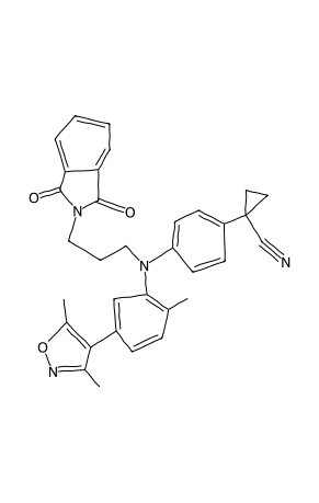 Cc1ccc(-c2c(C)noc2C)cc1N(CCCN1C(=O)c2ccccc2C1=O)c1ccc(C2(C#N)CC2)cc1